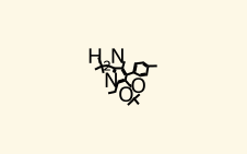 CCc1nc(CC(C)(C)C)c(CN)c(-c2ccc(C)cc2)c1C(=O)OC(C)(C)C